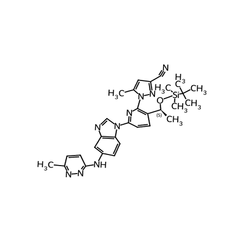 Cc1ccc(Nc2ccc3c(c2)ncn3-c2ccc([C@H](C)O[Si](C)(C)C(C)(C)C)c(-n3nc(C#N)cc3C)n2)nn1